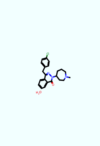 CN1CCCC(n2nc(Cc3ccc(Cl)cc3)c3ccccc3c2=O)CC1.O